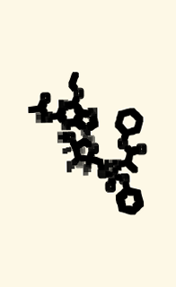 CCOc1nc(NC(C)=O)nc2c1ncn2[C@@H]1O[C@](F)(COP(=O)(NC(C)C(=O)OC2CCCCC2)Oc2ccccc2)[C@@H](F)[C@@]1(C)O